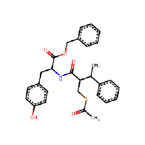 CC(=O)SCC(C(=O)NC(Cc1ccc(O)cc1)C(=O)OCc1ccccc1)C(C)c1ccccc1